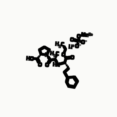 CCOC(=O)[C@H](CCc1ccccc1)N[C@@H](C)C(=O)N1CCC[C@H]1C(=O)O.O=P([O-])([O-])[O-].[Li+].[Mn+2]